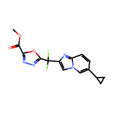 COC(=O)c1nnc(C(F)(F)c2cn3cc(C4CC4)ccc3n2)o1